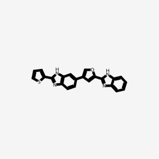 c1csc(-c2nc3ccc(-c4coc(-c5nc6ccccc6[nH]5)c4)cc3[nH]2)c1